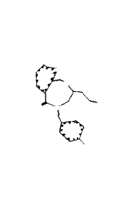 Cc1ccc(CN2CC(CCCl)Oc3ncccc3C2=O)cc1.Cl